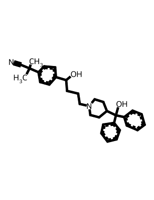 CC(C)(C#N)c1ccc(C(O)CCCN2CCC(C(O)(c3ccccc3)c3ccccc3)CC2)cc1